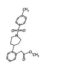 COC(=O)Cc1ccccc1C1CCN(S(=O)(=O)c2ccc(C)cc2)CC1